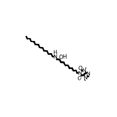 CCCCCCCCCCCCCCNCC(O)CCCCCCCCCn1c(=O)c2c(ncn2C)n(C)c1=O